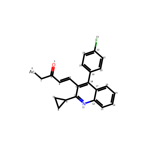 CC(=O)CC(=O)/C=C/c1c(C2CC2)nc2ccccc2c1-c1ccc(F)cc1